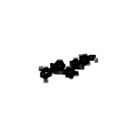 Cc1ccc(Nc2cccc3nc(N4C[C@@H](C)O[C@@H](C)C4)sc23)cc1-c1ncc(-c2ccc(C(F)(F)F)cc2)[nH]1